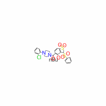 CCCCOc1c(C(=O)N2CCN(c3ccccc3Cl)CC2)ccc2c1C(S(=O)(=O)c1ccccc1)CS2(=O)=O